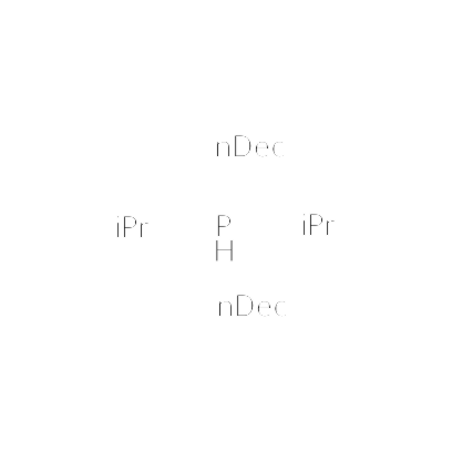 CCCCCCCCCC[PH](CCCCCCCCCC)(C(C)C)C(C)C